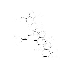 CC(C)=CCCC(C)(O[C@@H]1OC(CO)[C@@H](O)C(O)C1O)C1CC[C@]2(C)C1C(=O)CC1[C@@]3(C)CC=CC(C)(C)C3CC[C@]12C